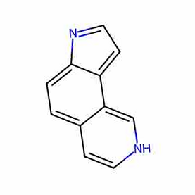 c1cc2c(ccc3cc[nH]cc32)n1